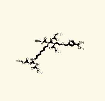 CC(=N)c1csc(COCCN(C(=O)OC(C)(C)C)/C(=N\C(=O)OC(C)(C)C)N(CCCCCCCN/C(=N\C(=O)OC(C)(C)C)NC(=O)OC(C)(C)C)C(=O)OC(C)(C)C)c1